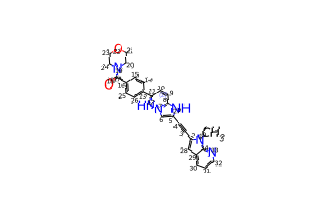 Cn1c(C#Cc2cnc(/C=C\C(=N)c3ccc(C(=O)N4CCOCC4)cc3)[nH]2)cc2cccnc21